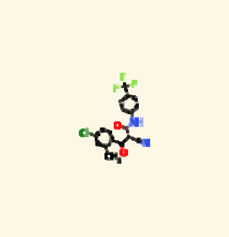 Cc1cc(Cl)ccc1C(=O)C(C#N)C(=O)Nc1ccc(C(F)(F)F)cc1